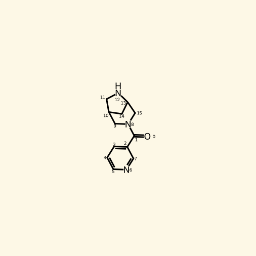 O=C(c1cccnc1)N1CC2CNC(C2)C1